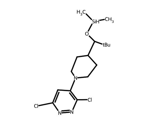 C[SiH](C)OC(C1CCN(c2cc(Cl)nnc2Cl)CC1)C(C)(C)C